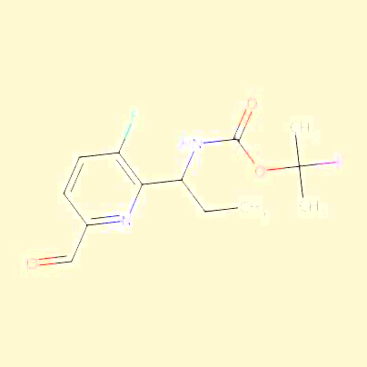 CCC(NC(=O)OC(C)(C)I)c1nc(C=O)ccc1F